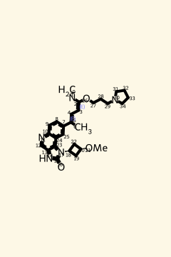 C=N/C(=C\C=C(/C)c1ccc2ncc3[nH]c(=O)n([C@H]4C[C@@H](OC)C4)c3c2c1)OCCCN1CCCC1